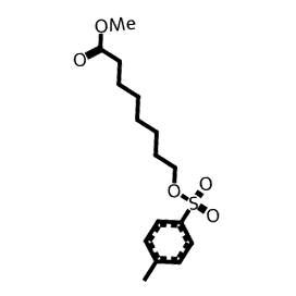 COC(=O)CCCCCCCOS(=O)(=O)c1ccc(C)cc1